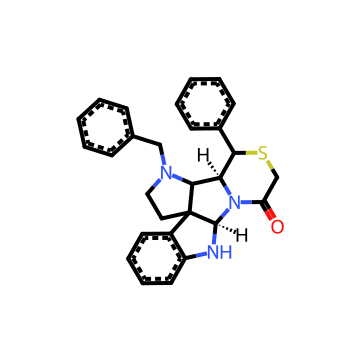 O=C1CSC(c2ccccc2)[C@@H]2C3N(Cc4ccccc4)CCC34c3ccccc3N[C@@H]4N12